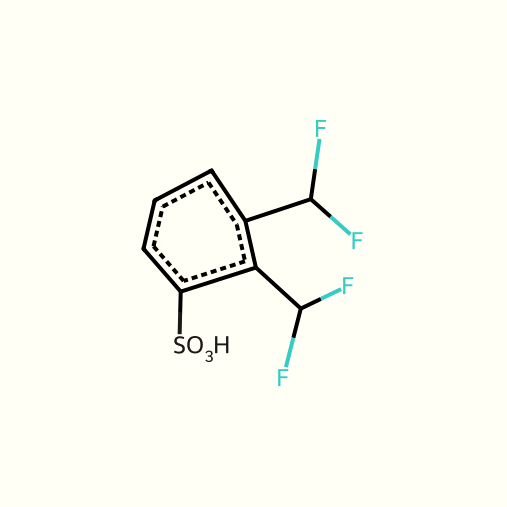 O=S(=O)(O)c1cccc(C(F)F)c1C(F)F